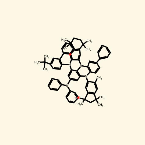 Cc1cc2c(cc1N1c3ccc(-c4ccccc4)cc3B3c4cc5c(cc4N(c4ccc(C(C)(C)C)cc4-c4ccccc4)c4cc(N(c6ccccc6)c6ccccc6)cc1c43)C(C)(C)CCC5(C)C)C(C)(C)CC2(C)C